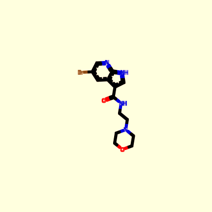 O=C(NCCN1CCOCC1)c1c[nH]c2ncc(Br)cc12